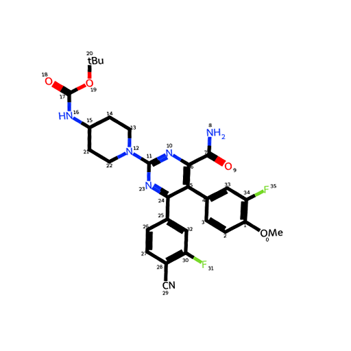 COc1ccc(-c2c(C(N)=O)nc(N3CCC(NC(=O)OC(C)(C)C)CC3)nc2-c2ccc(C#N)c(F)c2)cc1F